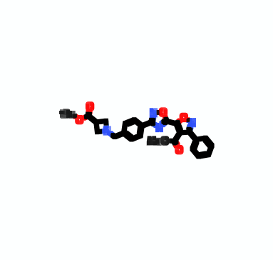 COC(=O)c1c(-c2ccccc2)noc1-c1nc(-c2ccc(CN3CC(C(=O)OC(C)(C)C)C3)cc2)no1